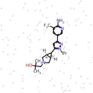 CC(C)n1nc(-c2cnc(N)c(C(F)(F)F)c2)cc1C1[C@H]2CN(CC(C)(C)O)C[C@@H]12